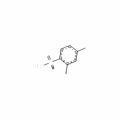 Cc1[c]c(C)c(S(N)(=O)=O)cc1